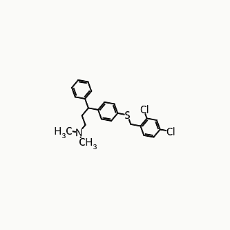 CN(C)CCC(c1ccccc1)c1ccc(SCc2ccc(Cl)cc2Cl)cc1